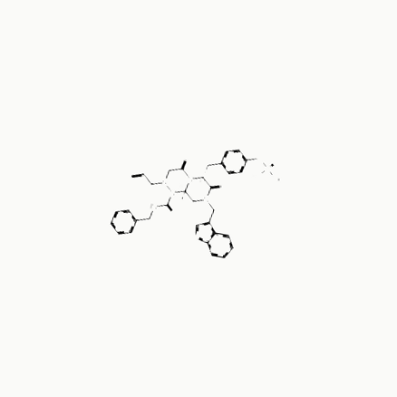 C=CCN1CC(=O)N2[C@@H](Cc3ccc(OP(=O)(O)O)cc3)C(=O)N(Cc3csc4ccccc34)C[C@@H]2N1C(=O)NCc1ccccc1